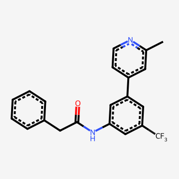 Cc1cc(-c2cc(NC(=O)Cc3ccccc3)cc(C(F)(F)F)c2)ccn1